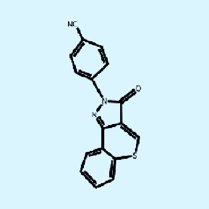 N#Cc1ccc(-n2nc3c4ccccc4scc-3c2=O)cc1